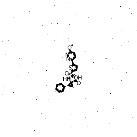 COc1ccc(-c2ccc(S(=O)(=O)N[C@@]3(C(=O)O)C[C@@H]3c3ccccc3)s2)nn1